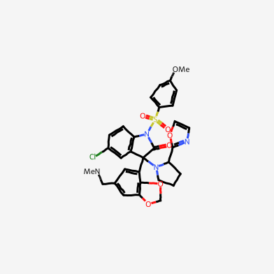 CNCc1cc2c(c(C3(N4CCCC4c4ncco4)C(=O)N(S(=O)(=O)c4ccc(OC)cc4)c4ccc(Cl)cc43)c1)OCO2